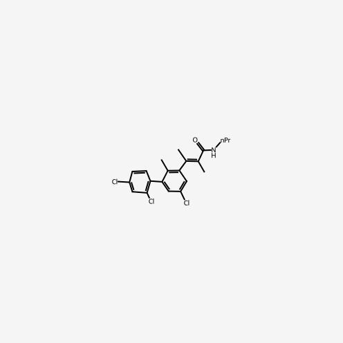 CCCNC(=O)/C(C)=C(\C)c1cc(Cl)cc(-c2ccc(Cl)cc2Cl)c1C